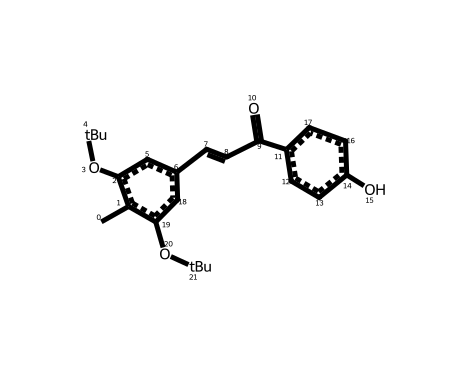 Cc1c(OC(C)(C)C)cc(C=CC(=O)c2ccc(O)cc2)cc1OC(C)(C)C